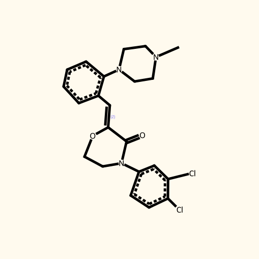 CN1CCN(c2ccccc2/C=C2\OCCN(c3ccc(Cl)c(Cl)c3)C2=O)CC1